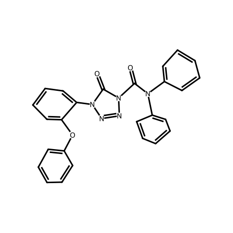 O=C(N(c1ccccc1)c1ccccc1)n1nnn(-c2ccccc2Oc2ccccc2)c1=O